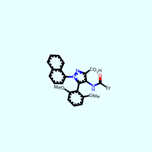 CCC(=O)Nc1c(C(=O)O)nn(-c2cccc3ccccc23)c1-c1c(OC)cccc1OC